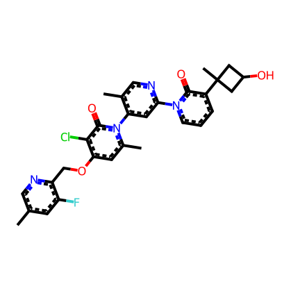 Cc1cnc(COc2cc(C)n(-c3cc(-n4cccc(C5(C)CC(O)C5)c4=O)ncc3C)c(=O)c2Cl)c(F)c1